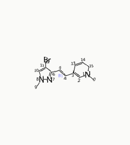 CN1C=C(/C=C/c2nn(C)cc2Br)C=CC1